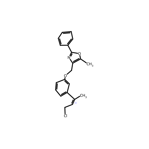 C/C(=C/CCl)c1cccc(OCc2nc(-c3ccccc3)oc2C)c1